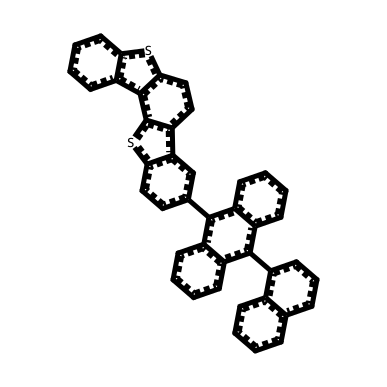 c1ccc2c(-c3c4ccccc4c(-c4ccc5sc6c(ccc7sc8ccccc8c76)c5c4)c4ccccc34)cccc2c1